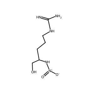 N=C(N)NCCCC(CO)N[N+](=O)[O-]